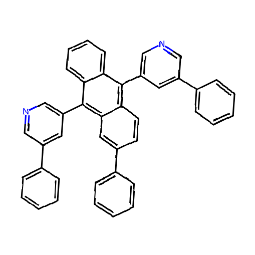 c1ccc(-c2cncc(-c3c4ccccc4c(-c4cncc(-c5ccccc5)c4)c4cc(-c5ccccc5)ccc34)c2)cc1